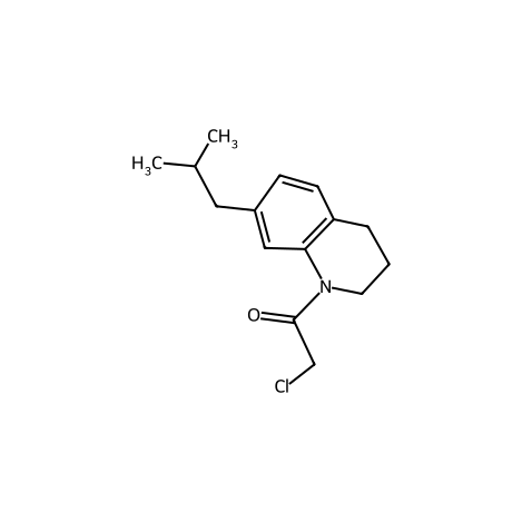 CC(C)Cc1ccc2c(c1)N(C(=O)CCl)CCC2